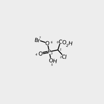 O=C(O)C(Cl)P(=O)(O)OBr